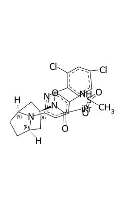 CC(C)C(=O)N(Oc1ccc(Cl)cc1Cl)[C@H]1C[C@H]2CC[C@@H](C1)N2c1ccc(NS(C)(=O)=O)cn1